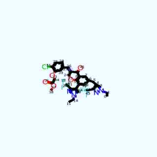 CCn1cc(Cc2cc3c(c(-c4cn(CC)nc4C(F)(F)F)c2)OC/C(=C\c2ccc(Cl)c(OCC(=O)OC)c2)C3=O)c(C(F)(F)F)n1